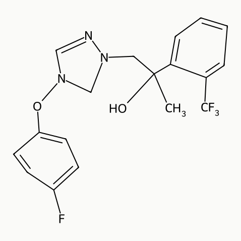 CC(O)(CN1CN(Oc2ccc(F)cc2)C=N1)c1ccccc1C(F)(F)F